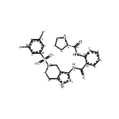 O=C(Nc1n[nH]c2c1CN(S(=O)(=O)c1cc(F)cc(F)c1)CC2)c1cccnc1NC(=O)[C@H]1CCCO1